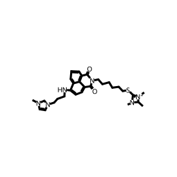 CC1N(C)C(SCCCCCCN2C(=O)c3cccc4c(NCCCN5C=CN(C)C5)ccc(c34)C2=O)=[N+]1C